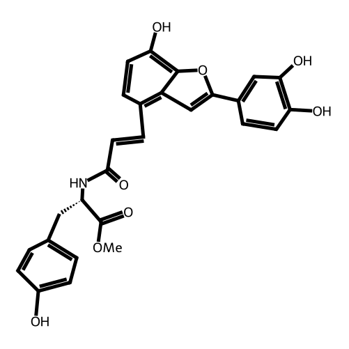 COC(=O)[C@H](Cc1ccc(O)cc1)NC(=O)/C=C/c1ccc(O)c2oc(-c3ccc(O)c(O)c3)cc12